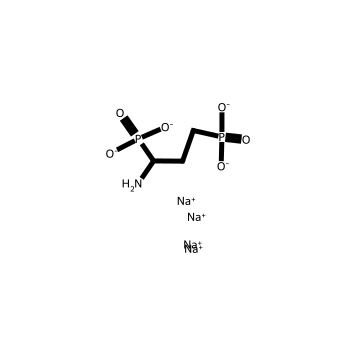 NC(CCP(=O)([O-])[O-])P(=O)([O-])[O-].[Na+].[Na+].[Na+].[Na+]